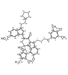 Cc1cc(OCCCc2c3n(c4c(-c5c(C)nn(C)c5C)c(Cl)ccc24)C(C)CN(c2cn(CCN4CCCC4)c4ccc(C(=O)O)cc24)C3=O)cc(C)c1Cl